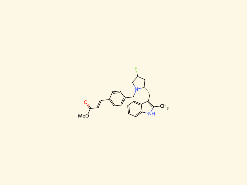 COC(=O)/C=C/c1ccc(CN2CC(F)C[C@@H]2Cc2c(C)[nH]c3ccccc23)cc1